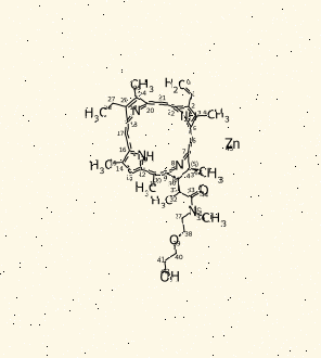 C=Cc1c(C)c2cc3nc(c(C)c4cc(C)c(cc5nc(cc1[nH]2)C(C)=C5CC)[nH]4)[C@H](C(C)C(=O)N(C)CCOCCO)[C@@H]3C.[Zn]